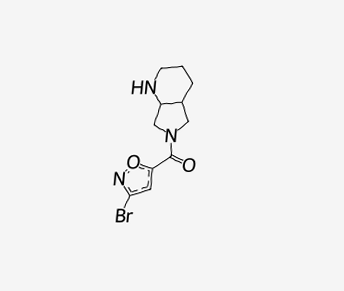 O=C(c1cc(Br)no1)N1CC2CCCNC2C1